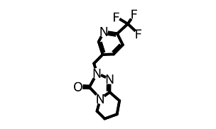 O=c1n(Cc2ccc(C(F)(F)F)nc2)nc2n1CCCC2